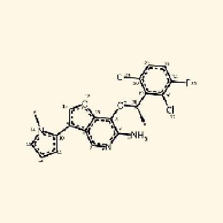 C[C@@H](Oc1c(N)ncc2c(-c3cccn3C)coc12)c1c(Cl)ccc(F)c1Cl